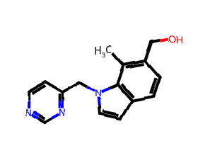 Cc1c(CO)ccc2ccn(Cc3ccncn3)c12